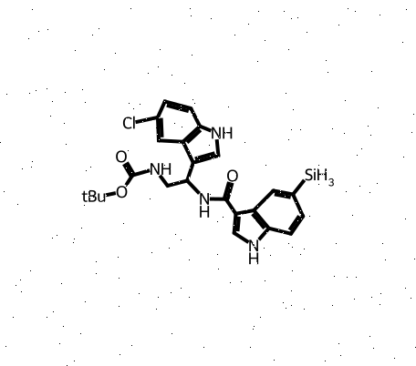 CC(C)(C)OC(=O)NCC(NC(=O)c1c[nH]c2ccc([SiH3])cc12)c1c[nH]c2ccc(Cl)cc12